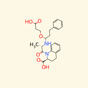 C[C@H](NC(CCc1ccccc1)OCCC(=O)O)C(=O)N1c2ccccc2CC[C@H]1C(=O)O